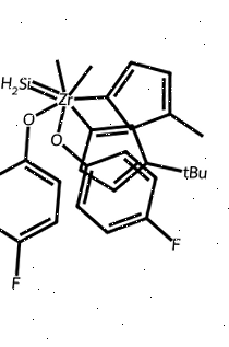 CC1=CC=[C]([Zr]([CH3])([CH3])(=[SiH2])([O]c2ccc(F)cc2)([O]c2ccc(F)cc2)[C]2=CC(C(C)(C)C)=CC2)C1